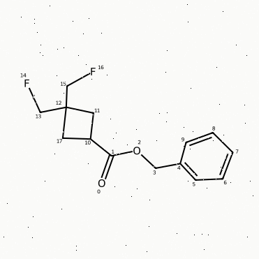 O=C(OCc1ccccc1)C1CC(CF)(CF)C1